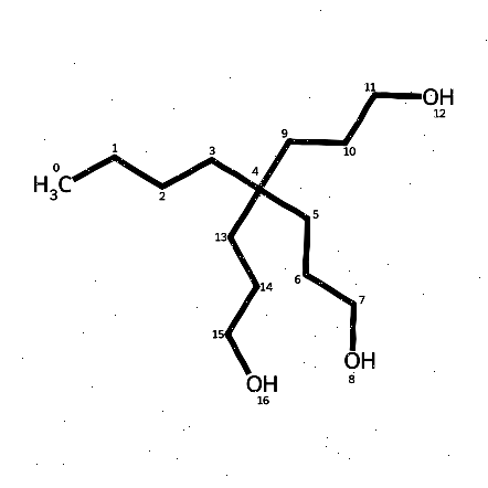 CCCCC(CCCO)(CCCO)CCCO